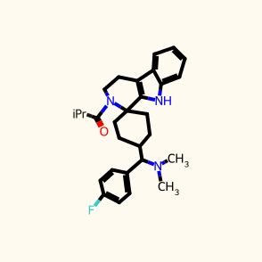 CC(C)C(=O)N1CCc2c([nH]c3ccccc23)C12CCC(C(c1ccc(F)cc1)N(C)C)CC2